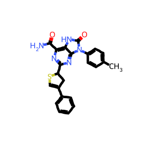 Cc1ccc(-n2c(=O)[nH]c3c(C(N)=O)nc(C4CC(c5ccccc5)=CS4)nc32)cc1